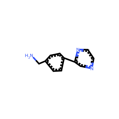 NCc1ccc(-c2cnc[c]n2)cc1